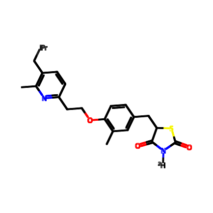 [2H]N1C(=O)SC(Cc2ccc(OCCc3ccc(CC(C)C)c(C)n3)c(C)c2)C1=O